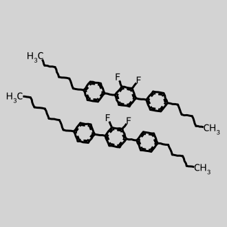 CCCCCCCc1ccc(-c2ccc(-c3ccc(CCCCC)cc3)c(F)c2F)cc1.CCCCCCc1ccc(-c2ccc(-c3ccc(CCCCC)cc3)c(F)c2F)cc1